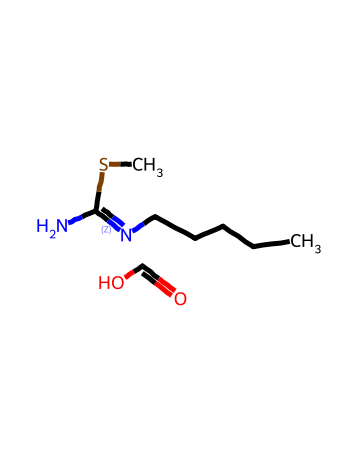 CCCCC/N=C(/N)SC.O=CO